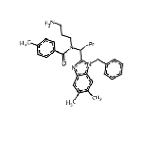 Cc1ccc(C(=O)N(CCCN)C(c2nc3cc(C)c(C)cc3n2Cc2ccccc2)C(C)C)cc1